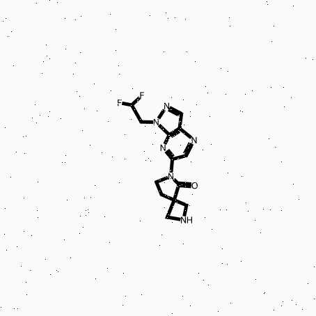 O=C1N(c2cnc3cnn(CC(F)F)c3n2)CCC12CNC2